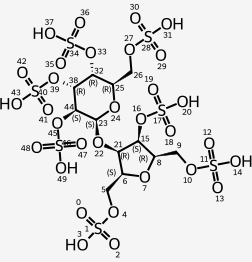 O=S(=O)(O)OC[C@@H]1O[C@H](COS(=O)(=O)O)[C@H](OS(=O)(=O)O)[C@@H]1O[C@@H]1O[C@H](COS(=O)(=O)O)[C@@H](OS(=O)(=O)O)[C@@H](OS(=O)(=O)O)[C@@H]1OS(=O)(=O)O